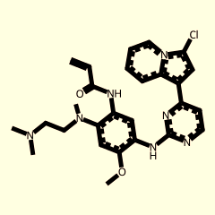 C=CC(=O)Nc1cc(Nc2nccc(-c3cc(Cl)n4ccccc34)n2)c(OC)cc1N(C)CCN(C)C